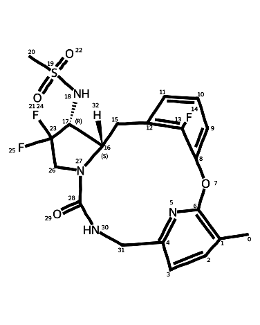 Cc1ccc2nc1Oc1cccc(c1F)C[C@H]1[C@@H](NS(C)(=O)=O)C(F)(F)CN1C(=O)NC2